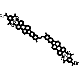 Cc1cc2cc3c(cc2cc1CCc1cc2cc4c(cc2cc1C)-c1ccc2c5ccc6c7c(ccc(c8ccc-4c1c28)c75)C(=O)N(c1c(C(C)C)cc(C(C)Br)cc1C(C)C)C6=O)C1=CC=C2c4ccc5c6c(ccc(c46)C4=CC=C3C1C42)C(=O)N(c1c(C(C)C)cc(C(C)Br)cc1C(C)C)C5=O